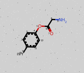 CCCc1ccc(OC(=O)CN)cc1